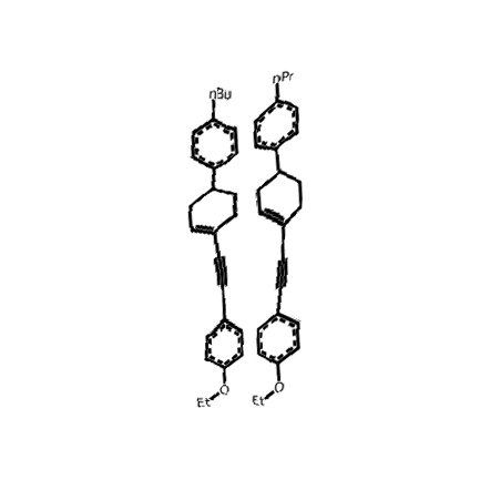 CCCCc1ccc(C2CC=C(C#Cc3ccc(OCC)cc3)CC2)cc1.CCCc1ccc(C2CC=C(C#Cc3ccc(OCC)cc3)CC2)cc1